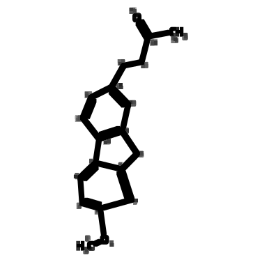 COc1ccc2c(c1)Cc1cc(CCC(C)=O)ccc1-2